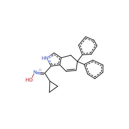 O/N=C(/c1[nH]cc2c1C=CC(c1ccccc1)(c1ccccc1)C2)C1CC1